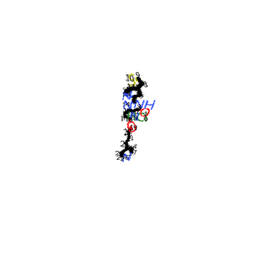 Cl.O=c1[nH]c(-c2cc3ccsc3cn2)nc2ccc(OCCCc3ccncc3)nc12